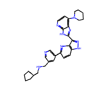 c1cc(N2CCCCC2)c2nc(-c3n[nH]c4ccc(-c5cncc(CNCC6CCCC6)c5)nc34)[nH]c2n1